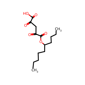 CCCCCC(CCCC)OC(=O)C(=O)CC(=O)C(=O)O